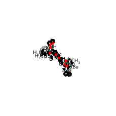 COC(=O)CSC(C)(C)[C@H](NC(=O)[C@H](C)N(C)C(=O)OC(C)(C)C)C(=O)N1Cc2cc(NC(=O)c3ccc(C(=O)N[C@H]4C[C@@H](C(=O)N[C@@H]5CCCc6ccccc65)N(C(=O)[C@@H](NC(=O)[C@H](C)N(C)C(=O)OC(C)(C)C)C(C)(C)C)C4)cc3)ccc2C[C@H]1C(=O)N[C@@H]1CCCc2ccccc21